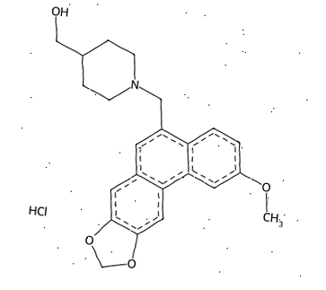 COc1ccc2c(CN3CCC(CO)CC3)cc3cc4c(cc3c2c1)OCO4.Cl